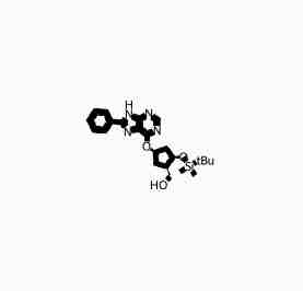 CC(C)(C)[Si](C)(C)O[C@@H]1C[C@H](Oc2ncnc3[nH]c(-c4ccccc4)nc23)C[C@H]1CO